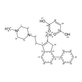 CC1=C(CCN2CCN(C)CC2)c2cccc(-c3ccccc3)c2C1.O=C(O)/C=C\C(=O)O